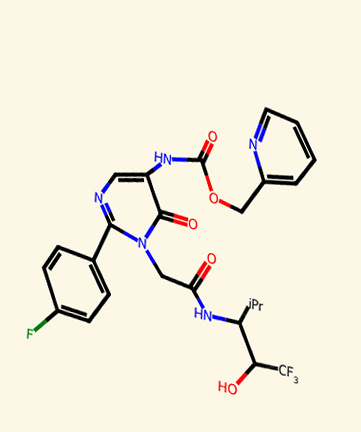 CC(C)C(NC(=O)Cn1c(-c2ccc(F)cc2)ncc(NC(=O)OCc2ccccn2)c1=O)C(O)C(F)(F)F